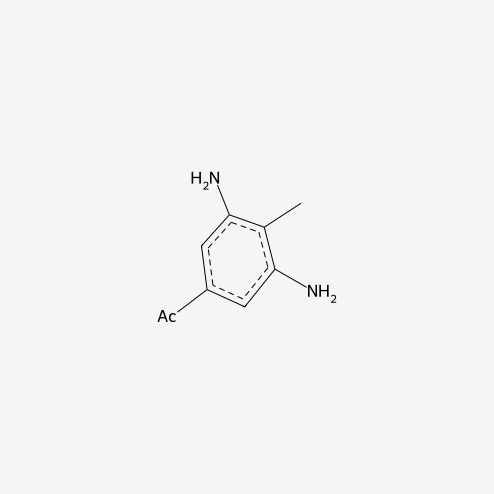 CC(=O)c1cc(N)c(C)c(N)c1